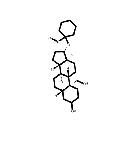 CCOC1(O[C@H]2CC[C@H]3[C@@H]4CC[C@H]5CC(O)CC[C@]5(CO)[C@H]4CC[C@]23C)CCCCC1